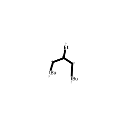 [CH2]CC(CC(C)(C)C)CC(C)(C)C